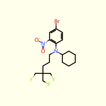 O=[N+]([O-])c1cc(Br)ccc1N(CCCC(CF)(CF)CF)C1CCCCC1